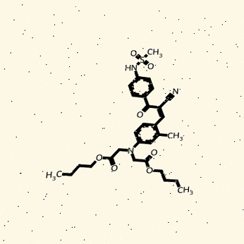 CCCCOC(=O)CN(CC(=O)OCCCC)c1ccc(C=C(C#N)C(=O)c2ccc(NS(C)(=O)=O)cc2)c(C)c1